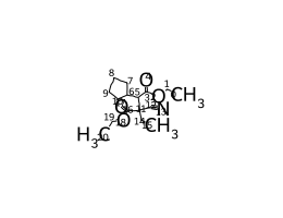 CCOC(=O)C(C1CCCC1)C(C#N)(CC)C(=O)OCC